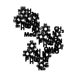 COc1ccc2nc(-c3ccc(C)nc3)c(C(=O)N[C@H]3N=C(c4ccccc4)c4cccc(F)c4NC3=O)n2n1.COc1ccc2nc(-c3ccncc3F)c(C(=O)N[C@H]3N=C(c4ccccc4)c4cccc(F)c4NC3=O)n2n1.COc1ccc2nc(-c3cncc(C)c3)c(C(=O)N[C@H]3N=C(c4ccccc4)c4cccc(F)c4NC3=O)n2n1